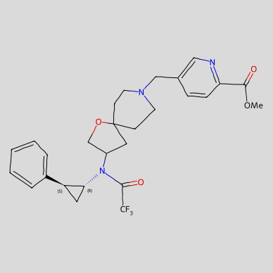 COC(=O)c1ccc(CN2CCC3(CC2)CC(N(C(=O)C(F)(F)F)[C@@H]2C[C@H]2c2ccccc2)CO3)cn1